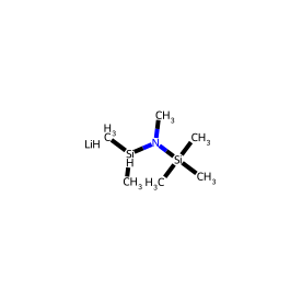 CN([SiH](C)C)[Si](C)(C)C.[LiH]